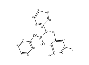 Cc1cc(C)c(OP(Oc2ccccc2)Oc2ccccc2)c(C)c1